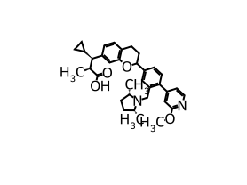 COc1cc(-c2ccc(C3CCc4ccc([C@H](C5CC5)[C@H](C)C(=O)O)cc4O3)cc2CN2[C@H](C)CC[C@@H]2C)ccn1